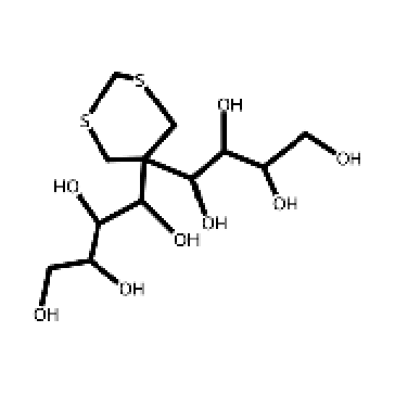 OCC(O)C(O)C(O)C1(C(O)C(O)C(O)CO)CSCSC1